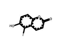 O=c1ccc2c(I)c(O)ccc2o1